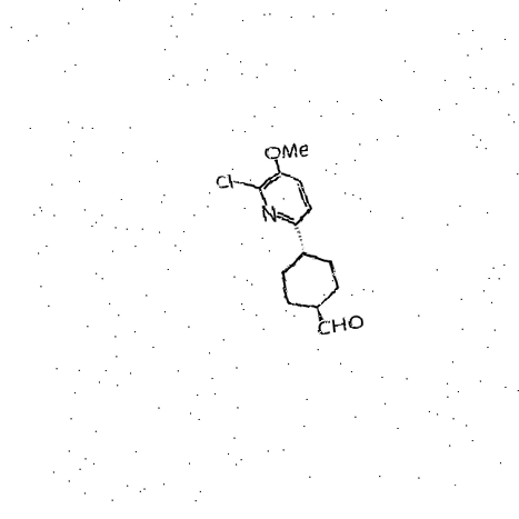 COc1ccc([C@H]2CC[C@H](C=O)CC2)nc1Cl